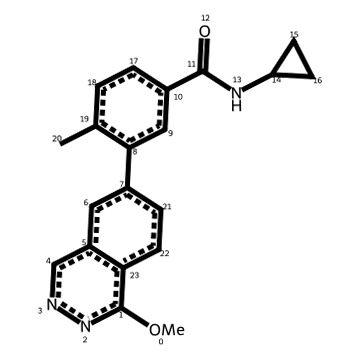 COc1nncc2cc(-c3cc(C(=O)NC4CC4)ccc3C)ccc12